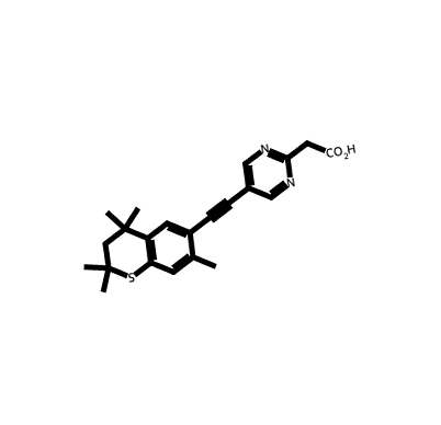 Cc1cc2c(cc1C#Cc1cnc(CC(=O)O)nc1)C(C)(C)CC(C)(C)S2